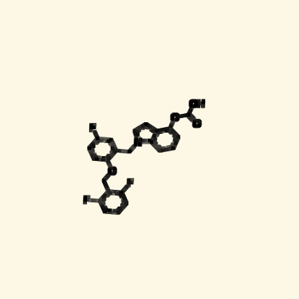 O=C(O)Oc1cccc2c1ccn2Cc1cc(F)ccc1OCc1c(F)cccc1F